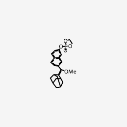 COC(=C1C2CC3CC(C2)CC1C3)c1ccc2ccc(OP3(=O)OCCO3)cc2c1